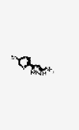 Nc1cc(-c2ccc(Br)cn2)n[nH]1